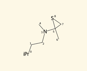 CC(C)CCN(C)C1(C)CS1